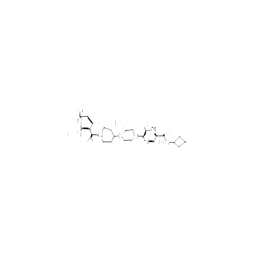 CC[C@H]1CN(c2ncc(C(=O)NC3CCC3)nc2C(F)(F)F)CCN1C1CCN(C(=O)c2ccc(Cl)nc2N)CC1